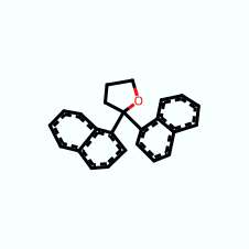 c1ccc2c(C3(c4cccc5ccccc45)CCCO3)cccc2c1